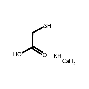 O=C(O)CS.[CaH2].[KH]